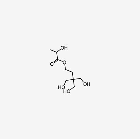 CC(O)C(=O)OCCC(CO)(CO)CO